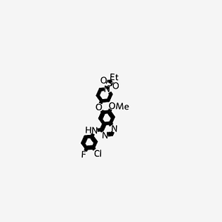 CCS(=O)(=O)N1CCC(Oc2cc3c(Nc4ccc(F)c(Cl)c4)ncnc3cc2OC)CC1